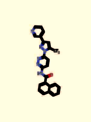 O=C(Nc1ccc(-n2nc(-c3cccnc3)cc2C(F)(F)F)nn1)c1cccc2ccccc12